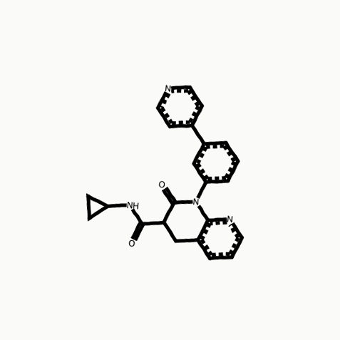 O=C(NC1CC1)C1Cc2cccnc2N(c2cccc(-c3ccncc3)c2)C1=O